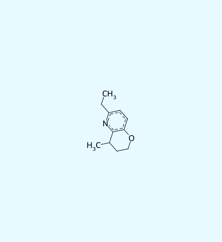 CCc1ccc2c(n1)C(C)CCO2